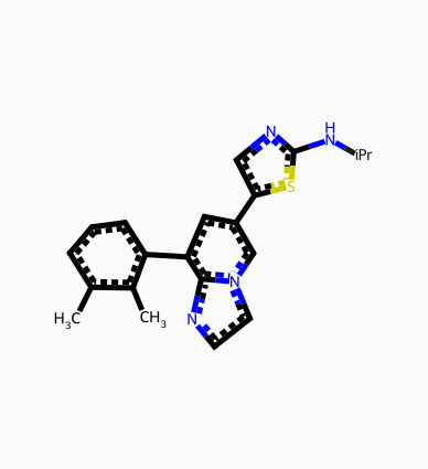 Cc1cccc(-c2cc(-c3cnc(NC(C)C)s3)cn3ccnc23)c1C